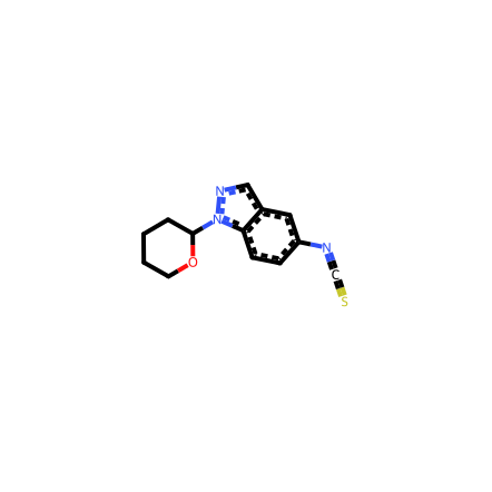 S=C=Nc1ccc2c(cnn2C2CCCCO2)c1